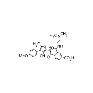 COc1ccc(-c2c(C)sc(NC(=O)c3ccc(C(=O)O)cc3C(=O)NCCN(C)C)c2C#N)cc1